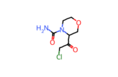 NC(=O)N1CCOCC1C(=O)CCl